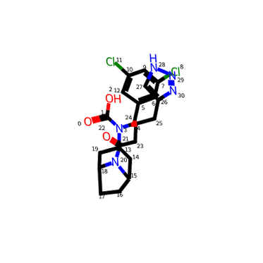 O=C(O)N(Cc1cc(Cl)cc(Cl)c1)C1CC2CCC(C1)N2C(=O)CCCc1c[nH]nn1